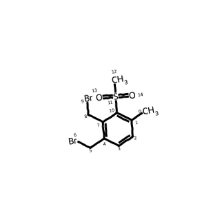 Cc1ccc(CBr)c(CBr)c1S(C)(=O)=O